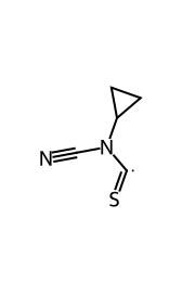 N#CN([C]=S)C1CC1